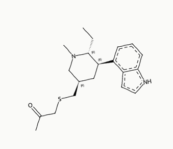 CC[C@@H]1[C@@H](c2cccc3[nH]ccc23)C[C@@H](CSCC(C)=O)CN1C